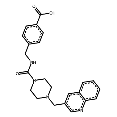 O=C(O)c1ccc(CNC(=O)N2CCN(Cc3cnc4ccccc4c3)CC2)cc1